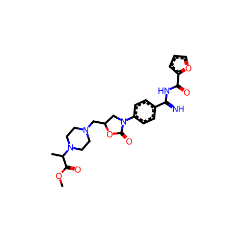 COC(=O)C(C)N1CCN(CC2CN(c3ccc(C(=N)NC(=O)c4ccco4)cc3)C(=O)O2)CC1